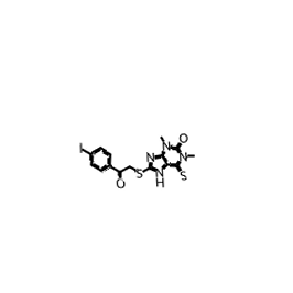 Cn1c(=S)c2[nH]c(SCC(=O)c3ccc(I)cc3)nc2n(C)c1=O